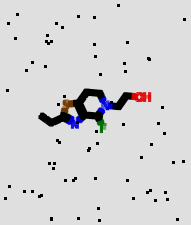 CCc1nc2c(s1)CCN(CCO)C2F